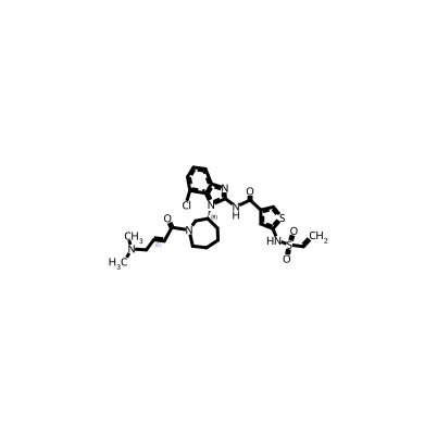 C=CS(=O)(=O)Nc1cc(C(=O)Nc2nc3cccc(Cl)c3n2[C@@H]2CCCCN(C(=O)/C=C/CN(C)C)C2)cs1